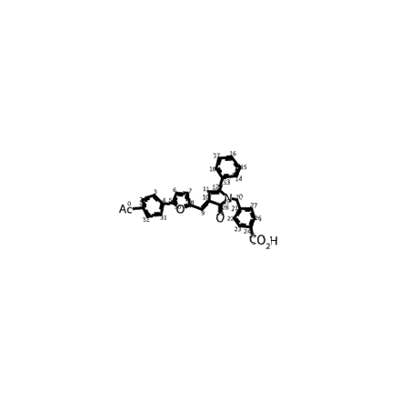 CC(=O)c1ccc(-c2ccc(/C=C3\C=C(c4ccccc4)N(Cc4ccc(C(=O)O)cc4)C3=O)o2)cc1